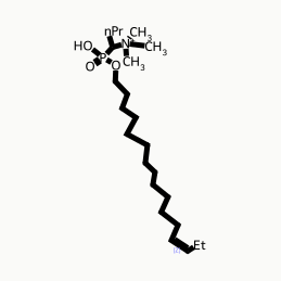 CC/C=C\CCCCCCCCCCCCOP(=O)(O)C(CCC)[N+](C)(C)C